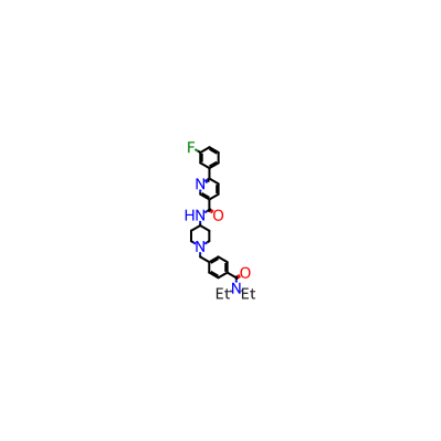 CCN(CC)C(=O)c1ccc(CN2CCC(NC(=O)c3ccc(-c4cccc(F)c4)nc3)CC2)cc1